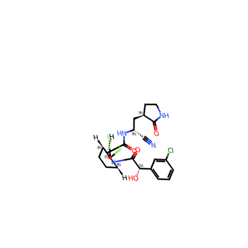 N#C[C@@H](C[C@H]1CCNC1=O)NC(=O)[C@@H]1[C@H]2CC[C@H](CC2(F)F)N1C(=O)[C@@H](O)c1cccc(Cl)c1